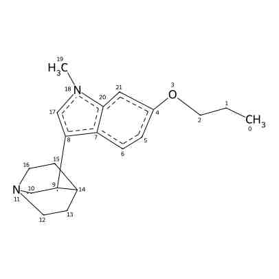 CCCOc1ccc2c([C]3[CH]N4CCC3CC4)cn(C)c2c1